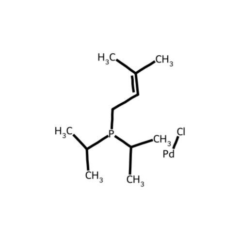 CC(C)=CCP(C(C)C)C(C)C.[Cl][Pd]